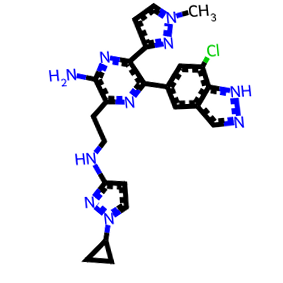 Cn1ccc(-c2nc(N)c(CCNc3ccn(C4CC4)n3)nc2-c2cc(Cl)c3[nH]ncc3c2)n1